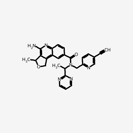 C#Cc1ccc(CN(C(=O)c2ccc3nc(N)c4c(c3c2)COC4C)C(C)c2ncccn2)nc1